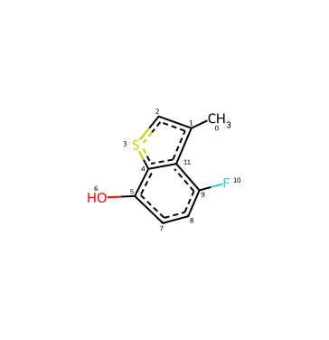 Cc1csc2c(O)ccc(F)c12